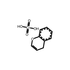 C1=COc2ccccc2C1.[O]=[Cr](=[O])([OH])[OH]